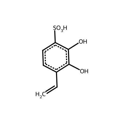 C=Cc1ccc(S(=O)(=O)O)c(O)c1O